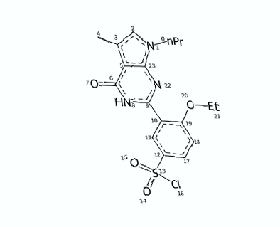 CCCn1cc(C)c2c(=O)[nH]c(-c3cc(S(=O)(=O)Cl)ccc3OCC)nc21